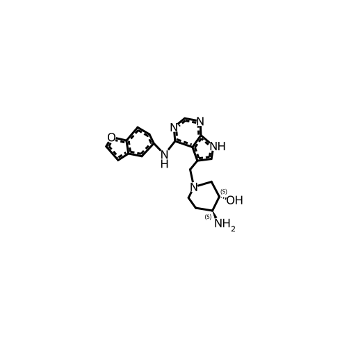 N[C@H]1CCN(Cc2c[nH]c3ncnc(Nc4ccc5occc5c4)c23)C[C@@H]1O